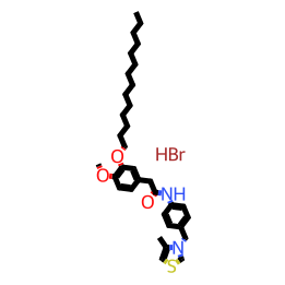 Br.CCCCCCCCCCCCCCOc1cc(CC(=O)Nc2ccc(CN3CSC=C3C)cc2)ccc1OC